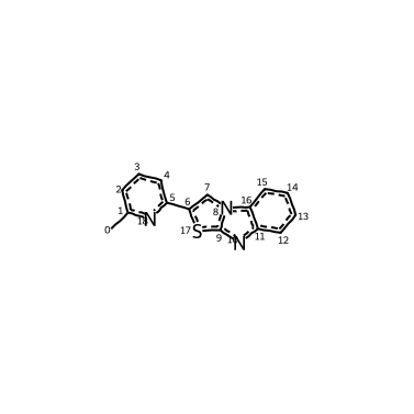 Cc1cccc(-c2cn3c(nc4ccccc43)s2)n1